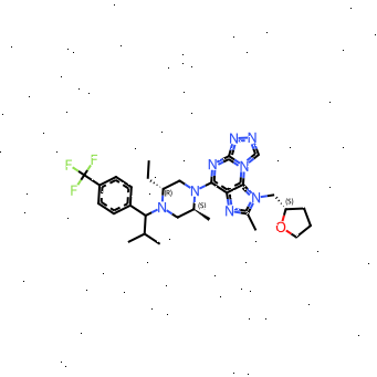 CC[C@@H]1CN(c2nc3nncn3c3c2nc(C)n3C[C@@H]2CCCO2)[C@@H](C)CN1C(c1ccc(C(F)(F)F)cc1)C(C)C